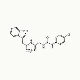 O=C(CNC(=O)Nc1ccc(Cl)cc1)NC(Cc1c[nH]c2ccccc12)C(=O)O